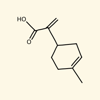 C=C(C(=O)O)C1CC=C(C)CC1